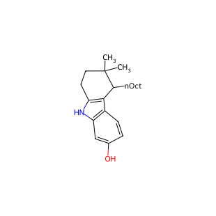 CCCCCCCCC1c2c([nH]c3cc(O)ccc23)CCC1(C)C